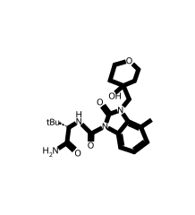 Cc1cccc2c1n(CC1(O)CCOCC1)c(=O)n2C(=O)N[C@H](C(N)=O)C(C)(C)C